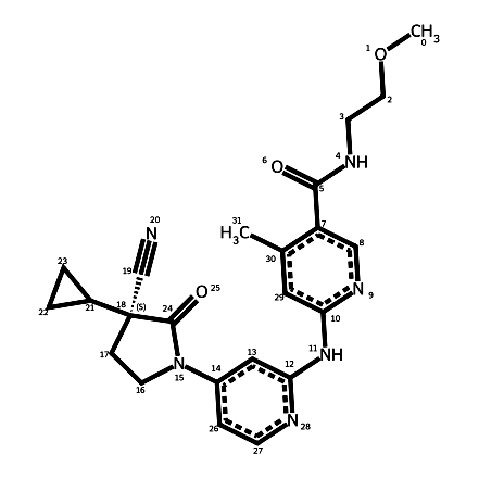 COCCNC(=O)c1cnc(Nc2cc(N3CC[C@@](C#N)(C4CC4)C3=O)ccn2)cc1C